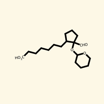 O=CC1(OC2CCCCO2)CCCC1CCCCCCC(=O)O